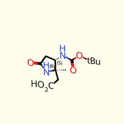 CC(C)(C)OC(=O)N[C@H]1CC(=O)N[C@]1(C)CC(=O)O